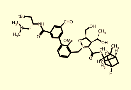 COc1c(CN2O[C@@H](CO)[C@@H]([C@H](C)O)[C@H]2C(=O)N[C@H]2C[C@H]3C[C@@H]([C@@H]2C)C3(C)C)cccc1-c1cc(C=O)cc(C(=O)N[C@H](CN(C)C)CC(C)(C)C)c1